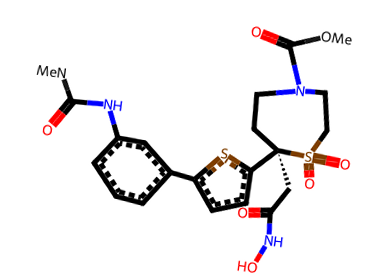 CNC(=O)Nc1cccc(-c2ccc([C@@]3(CC(=O)NO)CCN(C(=O)OC)CCS3(=O)=O)s2)c1